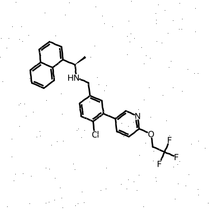 C[C@@H](NCc1ccc(Cl)c(-c2ccc(OCC(F)(F)F)nc2)c1)c1cccc2ccccc12